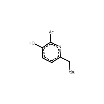 CC(=O)c1nc(CC(C)(C)C)ccc1O